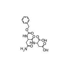 NC(=O)CC(NC(=O)OCc1ccccc1)C(=O)NC(CC(=O)O)C(=O)O